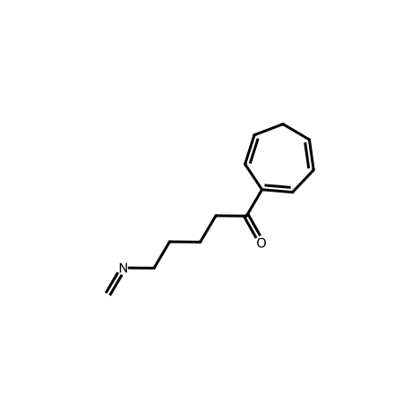 C=NCCCCC(=O)C1=CC=CCC=C1